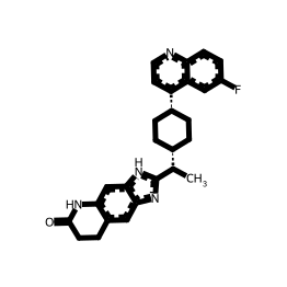 CC(c1nc2cc3c(cc2[nH]1)NC(=O)CC3)[C@H]1CC[C@@H](c2ccnc3ccc(F)cc32)CC1